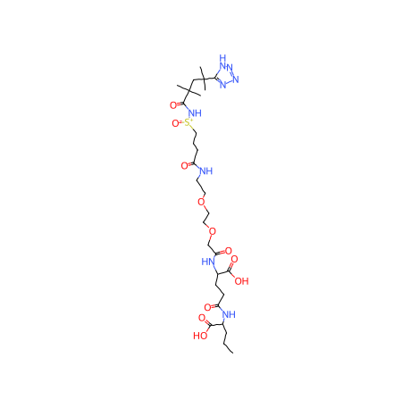 CCCC(NC(=O)CCC(NC(=O)COCCOCCNC(=O)CCC[S+]([O-])NC(=O)C(C)(C)CC(C)(C)c1nnn[nH]1)C(=O)O)C(=O)O